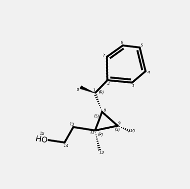 C[C@@H](c1ccccc1)[C@@H]1[C@H](C)[C@@]1(C)CCO